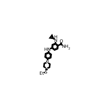 CCSN1CCN(c2ccc(Nc3ccc(C(N)=O)c(NC4CC4)c3)cc2)CC1